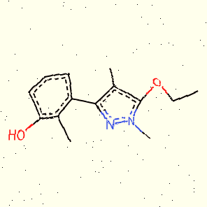 CCOc1c(C)c(-c2cccc(O)c2C)nn1C